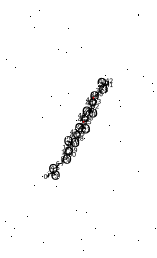 C=CC(=O)OCCCCOc1ccc(C(=O)OC2=CC=C(OC(=O)c3ccc(OC(=O)c4ccc(OCCOC(=O)C=C)cc4)cc3)CC2)cc1